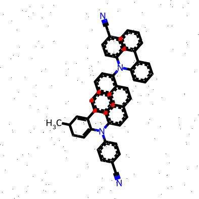 CC1C=C(c2ccccc2)C(N(c2ccc(C#N)cc2)c2ccc3ccc4c(N(c5ccc(C#N)cc5)c5ccccc5-c5ccccc5)ccc5ccc2c3c54)=CC1